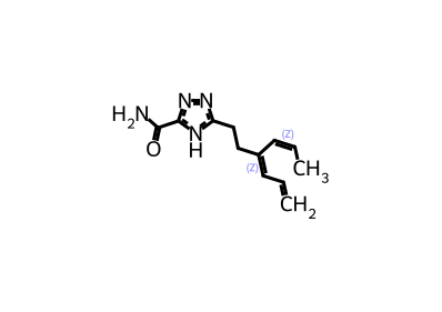 C=C/C=C(\C=C/C)CCc1nnc(C(N)=O)[nH]1